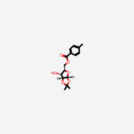 Cc1ccc(C(=O)OC[C@H]2O[C@@H]3OC(C)(C)O[C@@H]3[C@H]2O)cc1